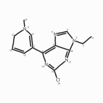 CCn1cnc2c(C3=CN(C)CC=C3)nc(Cl)nc21